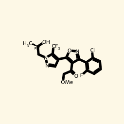 COCC(=O)c1c(-c2c(F)cccc2Cl)noc1-c1cnn(C[C@@H](C)O)c1C(F)(F)F